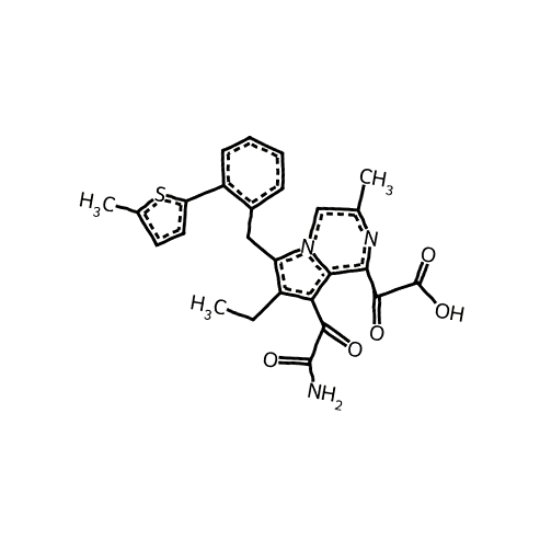 CCc1c(C(=O)C(N)=O)c2c(C(=O)C(=O)O)nc(C)cn2c1Cc1ccccc1-c1ccc(C)s1